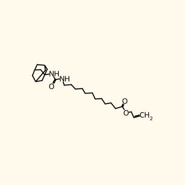 C=CCOC(=O)CCCCCCCCCCCNC(=O)NC12CC3CC(CC(C3)C1)C2